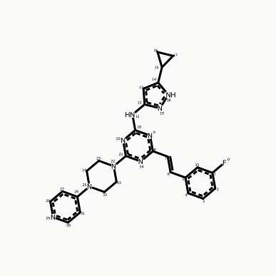 Fc1cccc(/C=C/c2nc(Nc3cc(C4CC4)[nH]n3)nc(N3CCN(c4ccncc4)CC3)n2)c1